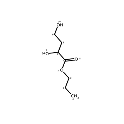 CCCOC(=O)C(O)CCO